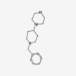 c1ccc(CN2CCC(N3CC[N]CC3)CC2)cc1